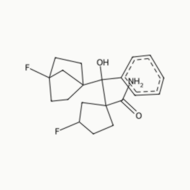 NC(=O)C1(C(O)(c2ccccc2)C23CCC(F)(CC2)C3)CCC(F)C1